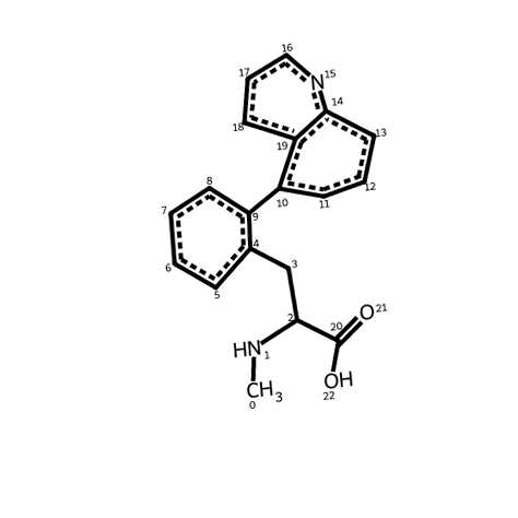 CNC(Cc1ccccc1-c1cccc2ncccc12)C(=O)O